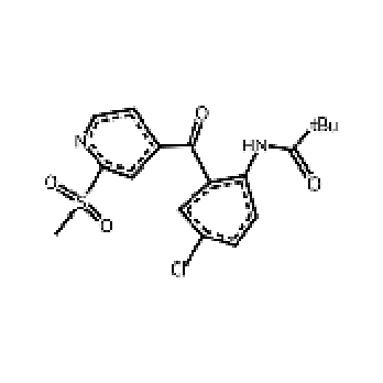 CC(C)(C)C(=O)Nc1ccc(Cl)cc1C(=O)c1ccnc(S(C)(=O)=O)c1